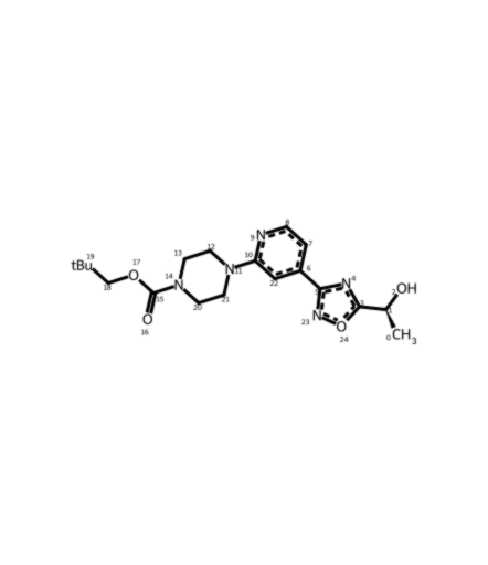 C[C@H](O)c1nc(-c2ccnc(N3CCN(C(=O)OCC(C)(C)C)CC3)c2)no1